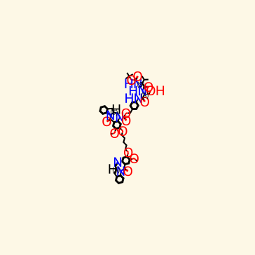 COc1cc2c(cc1OCCCCCOc1cc3c(cc1OC)C(=O)N1c4ccccc4C[C@H]1CN3C(=O)OCc1ccc(NC(=O)[C@H](CO)NC(=O)[C@@H](NC(=O)OC(C)(C)C)C(C)C)cc1)N=C[C@@H]1Cc3ccccc3N1C2=O